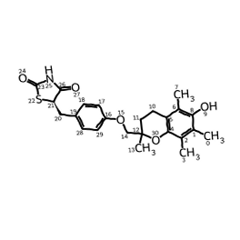 Cc1c(C)c2c(c(C)c1O)CCC(C)(COc1ccc(C[C@H]3SC(=O)NC3=O)cc1)O2